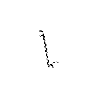 CN(CCNCCOCCOCCOCCC(=O)OC(C)(C)C)C(=O)OC(C)(C)C